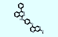 COc1cc2nccc(Oc3ccc(Nc4nnc(-c5ccccc5)c5ccccc45)cc3)c2cn1